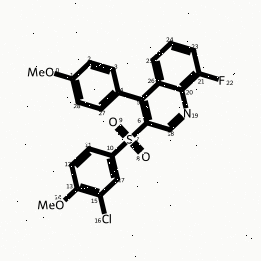 COc1ccc(-c2c(S(=O)(=O)c3ccc(OC)c(Cl)c3)cnc3c(F)cccc23)cc1